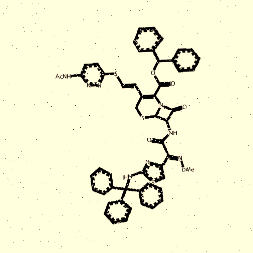 CON=C(C(=O)NC1C(=O)N2C(C(=O)OC(c3ccccc3)c3ccccc3)=C(C=CSc3ccc(NC(C)=O)nn3)CSC12)c1csc(NC(c2ccccc2)(c2ccccc2)c2ccccc2)n1